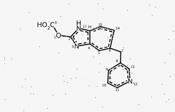 O=C(O)Oc1nc2cc(Cc3cccnc3)ccc2[nH]1